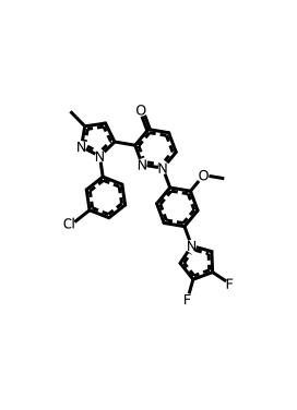 COc1cc(-n2cc(F)c(F)c2)ccc1-n1ccc(=O)c(-c2cc(C)nn2-c2cccc(Cl)c2)n1